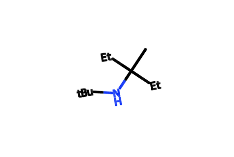 CCC(C)(CC)NC(C)(C)C